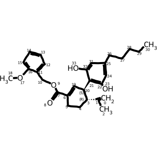 C=C(C)[C@@H]1CCC(C(=O)OCc2ccccc2OC)=C[C@H]1c1c(O)cc(CCCCC)cc1O